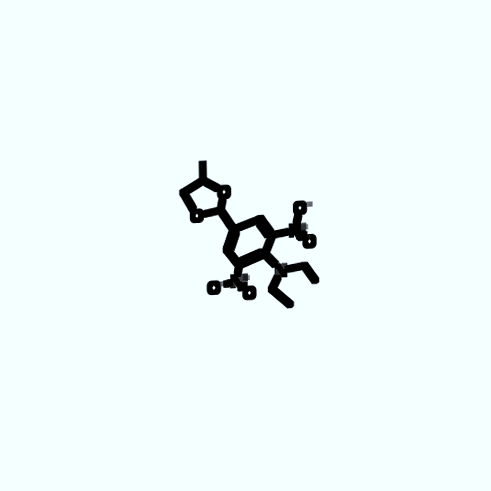 CCN(CC)c1c([N+](=O)[O-])cc(C2OCC(C)O2)cc1[N+](=O)[O-]